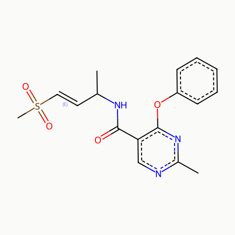 Cc1ncc(C(=O)NC(C)/C=C/S(C)(=O)=O)c(Oc2ccccc2)n1